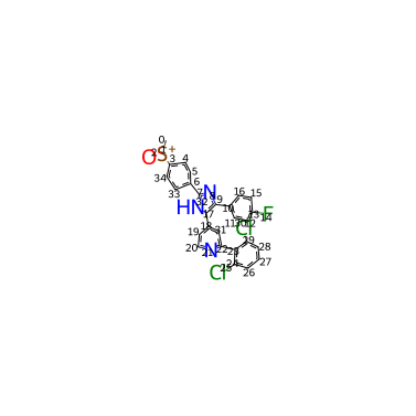 C[S+]([O-])c1ccc(-c2nc(-c3ccc(F)cc3)c(-c3ccnc(-c4c(Cl)cccc4Cl)c3)[nH]2)cc1